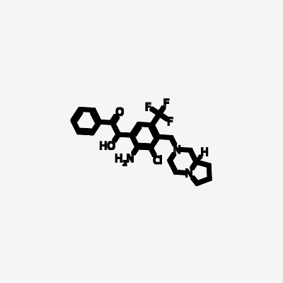 Nc1c(C(O)C(=O)c2ccccc2)cc(C(F)(F)F)c(CN2CCN3CCC[C@H]3C2)c1Cl